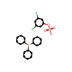 O=S(=O)([O-])Oc1cc(F)cc(F)c1.c1ccc([S+](c2ccccc2)c2ccccc2)cc1